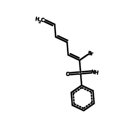 C=C/C=C/C=C(\Br)S(=N)(=O)c1ccccc1